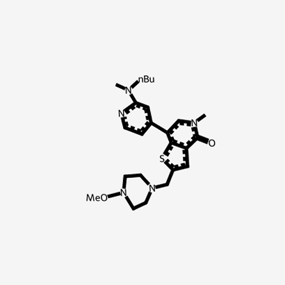 CCCCN(C)c1cc(-c2cn(C)c(=O)c3cc(CN4CCN(OC)CC4)sc23)ccn1